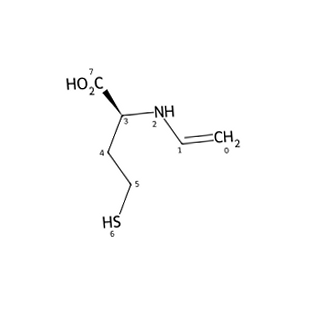 C=CN[C@@H](CCS)C(=O)O